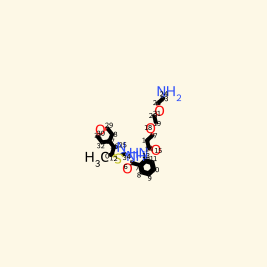 CC1SC(NC(=O)c2ccccc2NC(=O)CCOCCOCCN)=NC1C1CCOCC1